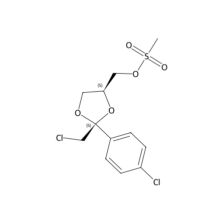 CS(=O)(=O)OC[C@@H]1CO[C@@](CCl)(c2ccc(Cl)cc2)O1